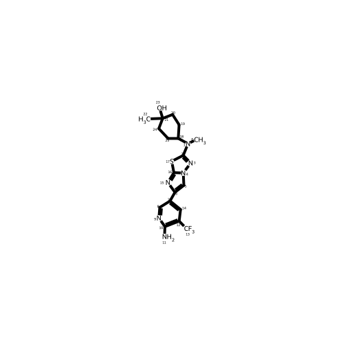 CN(c1nn2cc(-c3cnc(N)c(C(F)(F)F)c3)nc2s1)C1CCC(C)(O)CC1